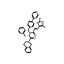 Cc1nc(C=CC(=O)N(Cc2ccc(-c3ccncc3)cc2)[C@@H](Cc2ccccc2)C(=O)N2CCc3ccccc3C2)c(C)o1